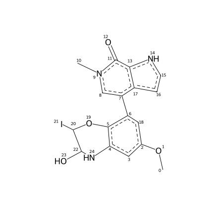 COc1cc2c(c(-c3cn(C)c(=O)c4[nH]ccc34)c1)OC(I)C(O)N2